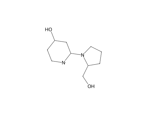 OCC1CCCN1C1CC(O)CC[N]1